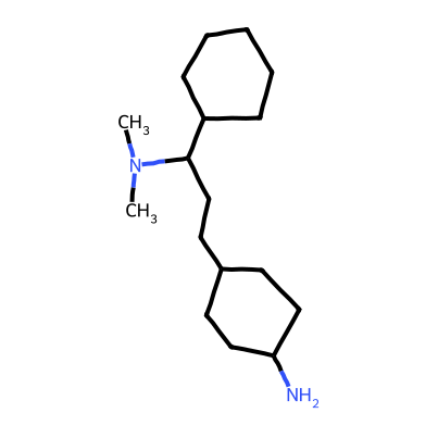 CN(C)C(CCC1CCC(N)CC1)C1CCCCC1